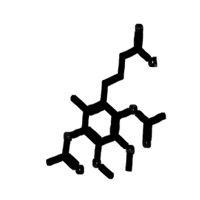 COc1c(OC(C)=O)c(C)c(CCCC(=O)Cl)c(OC(C)=O)c1OC